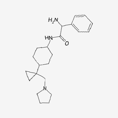 NC(C(=O)NC1CCC(C2(CN3CCCC3)CC2)CC1)c1ccccc1